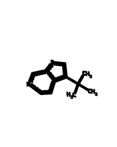 CC(C)(C)c1csc2cnccc12